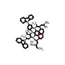 C=CC1=C(/C=C(\C)n2c3ccccc3c3ccccc32)N([C@@H](CC)/C(=C\C(=C/C)C(C)(C)C)c2ccccc2)c2cccc3c2B1c1ccc(-n2c4ccccc4c4ccccc42)cc1N3/C(C)=C(/C=C(\C(C)C)C(C)(C)C)c1ccccc1